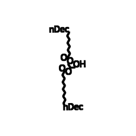 CCCCCCCCCCCCCCCCCCCC(=O)OC(CO)COC(=O)CCCCCCCCCCCCCCCCC